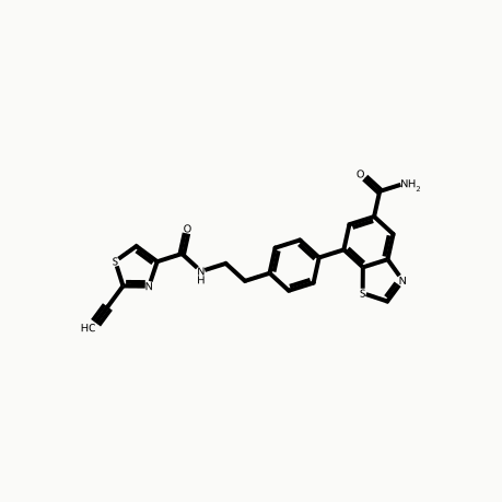 C#Cc1nc(C(=O)NCCc2ccc(-c3cc(C(N)=O)cc4ncsc34)cc2)cs1